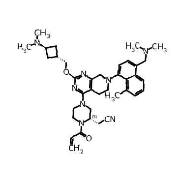 C=CC(=O)N1CCN(c2nc(OC[C@H]3C[C@H](N(C)C)C3)nc3c2CCN(c2ccc(CN(C)C)c4cccc(C)c24)C3)C[C@@H]1CC#N